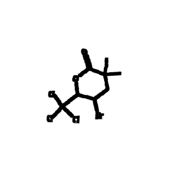 CC1(C)CC(Br)C(C(Cl)(Cl)Cl)OC1=O